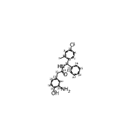 Cc1cc(Cl)ccc1C(NC(=O)Cc1ccc(O)c(N)c1)c1ccccc1